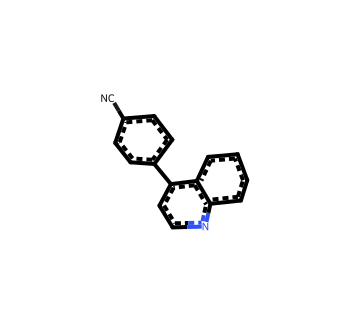 N#Cc1ccc(-c2ccnc3ccccc23)cc1